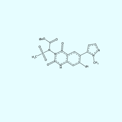 CC(C)COC(=O)N(n1c(=O)[nH]c2cc(C(C)C)c(-c3ccnn3C)cc2c1=O)S(C)(=O)=O